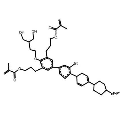 C=C(C)C(=O)OCCCc1cc(-c2ccc(C3C=CC(C4CCC(CCCCC)CC4)=CC3)c(CC)c2)cc(CCCOC(=O)C(=C)C)c1OCCC(CO)CO